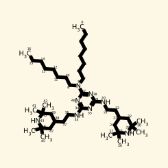 CCCCCCCCN(CCCCCCCC)c1nc(NCCC2CC(C)(C)NC(C)(C)C2)nc(NCCC2CC(C)(C)NC(C)(C)C2)n1